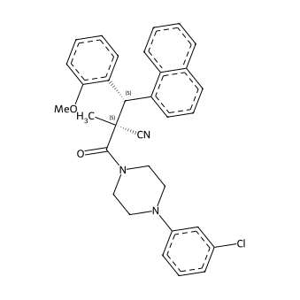 COc1ccccc1[C@H](c1cccc2ccccc12)[C@@](C)(C#N)C(=O)N1CCN(c2cccc(Cl)c2)CC1